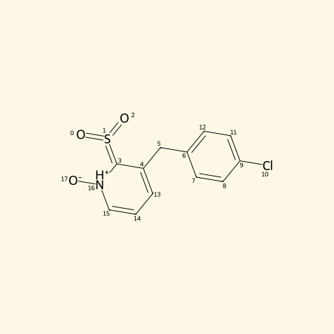 O=S(=O)=C1C(Cc2ccc(Cl)cc2)=CC=C[NH+]1[O-]